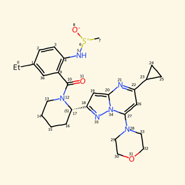 CCc1ccc(N[S+](C)[O-])c(C(=O)N2CCCC[C@H]2c2cc3nc(C4CC4)cc(N4CCOCC4)n3n2)c1